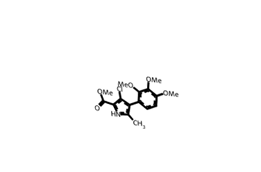 COC(=O)c1[nH]c(C)c(-c2ccc(OC)c(OC)c2OC)c1Cl